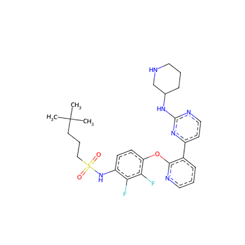 CC(C)(C)CCCS(=O)(=O)Nc1ccc(Oc2ncccc2-c2ccnc(NC3CCCNC3)n2)c(F)c1F